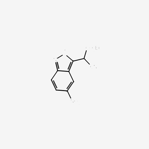 CCOC(=O)C(C#N)c1snc2ccc([N+](=O)[O-])cc12